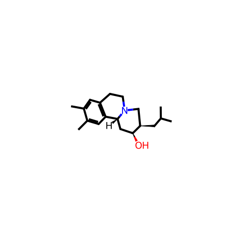 Cc1cc2c(cc1C)[C@H]1C[C@H](O)[C@H](CC(C)C)CN1CC2